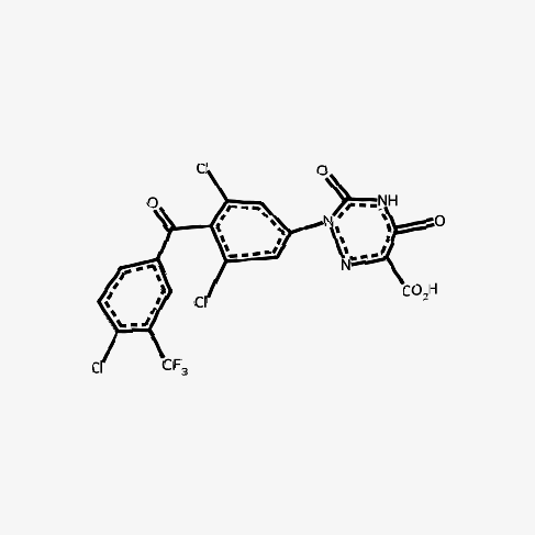 O=C(c1ccc(Cl)c(C(F)(F)F)c1)c1c(Cl)cc(-n2nc(C(=O)O)c(=O)[nH]c2=O)cc1Cl